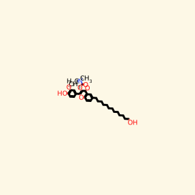 COc1cc(-c2oc3ccc(CCCCCCCCCCCCCO)cc3c(=O)c2OC(=O)N(C)C)ccc1O